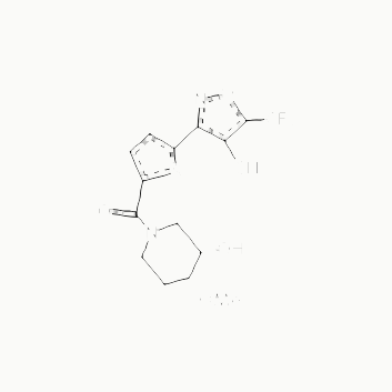 CO[C@@H]1CCN(C(=O)c2ccc(-c3noc(C(F)(F)F)c3C)s2)C[C@@H]1O